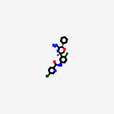 C[C@@]1(c2cc(NC(=O)c3ccc(Cl)cn3)ccc2F)CO[C@@H](c2ccccc2)C(N)=N1